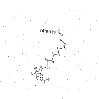 CCCCC/C=C\C/C=C\CCCCCCCCC(C)(C)C(=O)O